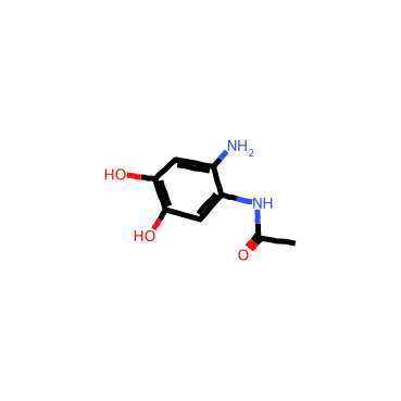 CC(=O)Nc1cc(O)c(O)cc1N